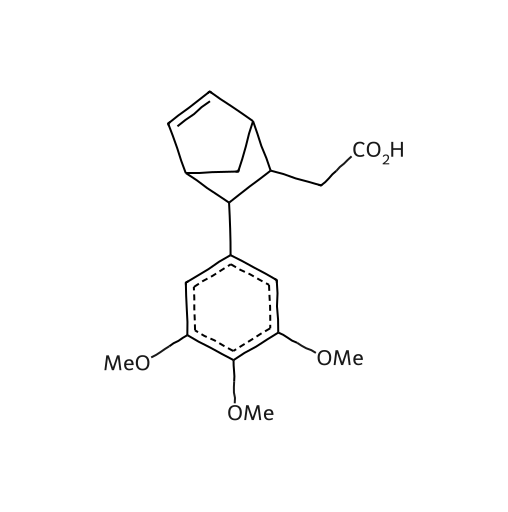 COc1cc(C2C3C=CC(C3)C2CC(=O)O)cc(OC)c1OC